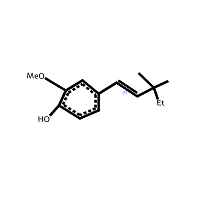 CCC(C)(C)/C=C/c1ccc(O)c(OC)c1